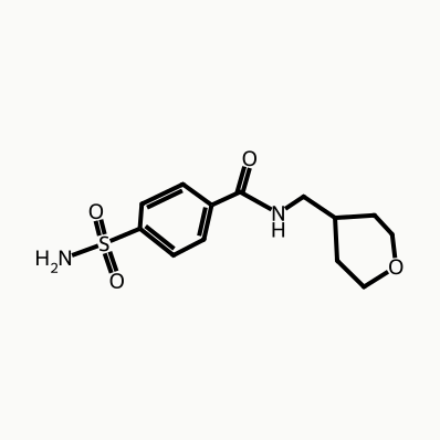 NS(=O)(=O)c1ccc(C(=O)NCC2CCOCC2)cc1